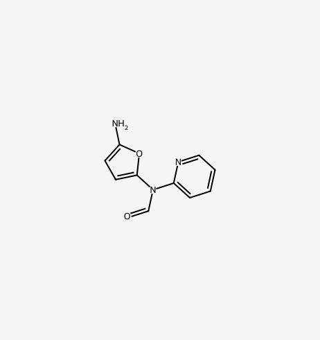 Nc1ccc(N(C=O)c2ccccn2)o1